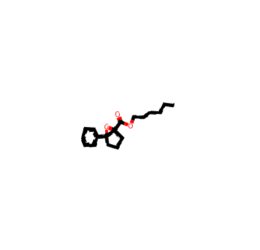 CCCCCCOC(=O)C12CCCC1(c1ccccc1)O2